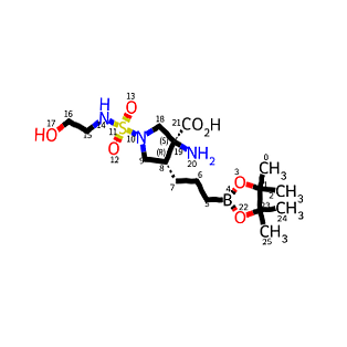 CC1(C)OB(CCC[C@@H]2CN(S(=O)(=O)NCCO)C[C@]2(N)C(=O)O)OC1(C)C